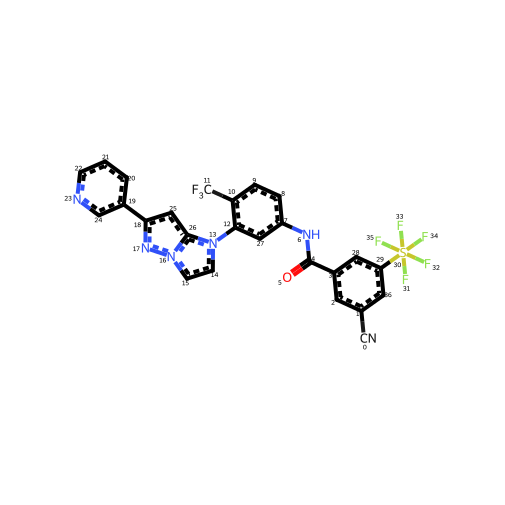 N#Cc1cc(C(=O)Nc2ccc(C(F)(F)F)c(-n3ccn4nc(-c5cccnc5)cc34)c2)cc(S(F)(F)(F)(F)F)c1